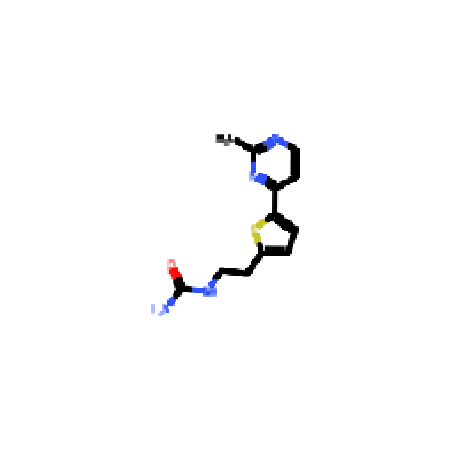 Cc1nccc(-c2ccc(CCNC(N)=O)s2)n1